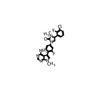 CN1C(=O)N(c2ccc(-c3cn(C)c4ncnc(N)c34)c(F)c2)CC1c1cccc(Cl)c1F